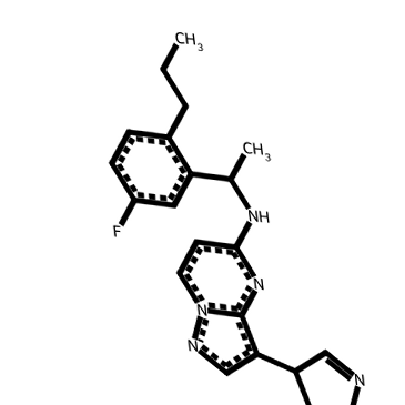 CCCc1ccc(F)cc1C(C)Nc1ccn2ncc(C3C=NNC3)c2n1